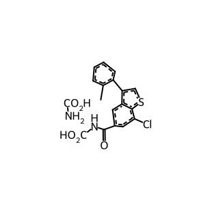 Cc1ccccc1-c1csc2c(Cl)cc(C(=O)NC(=O)O)cc12.NC(=O)O